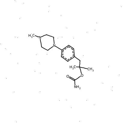 CN1CCN(c2ccc(CC(C)(C)OC(N)=O)cc2)CC1